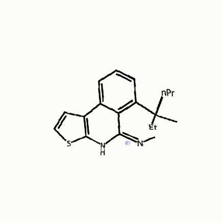 CCCC(C)(CC)c1cccc2c1/c(=N\C)[nH]c1sccc12